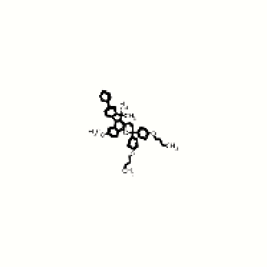 CCCCOc1ccc(C2(c3ccc(OCCCC)cc3)C=Cc3c4c(c5cc(OC)ccc5c3O2)-c2ccc(-c3ccccc3)cc2C4(C)C)cc1